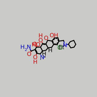 CCN(Cc1cc(O)c2c(c1Cl)C[C@H]1C[C@H]3[C@H](N(C)C)C(O)=C(C(N)=O)C(=O)[C@@]3(O)C(O)=C1C2=O)C1CCCCC1